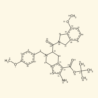 COc1ccc(CN2Cc3sc(N)c(C(=O)OC(C)(C)C)c3CC2C(=O)N2Cc3cccc(OC)c3C2)cc1